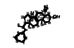 C[C@H](Cc1ccccc1)[C@H]1CC[C@H]2C3=C(CC[C@]12C)[C@@]1(C)CC[C@@H](O)C[C@]1(C#N)CC3